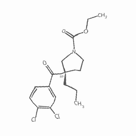 CCC[C@]1(C(=O)c2ccc(Cl)c(Cl)c2)CCN(C(=O)OCC)C1